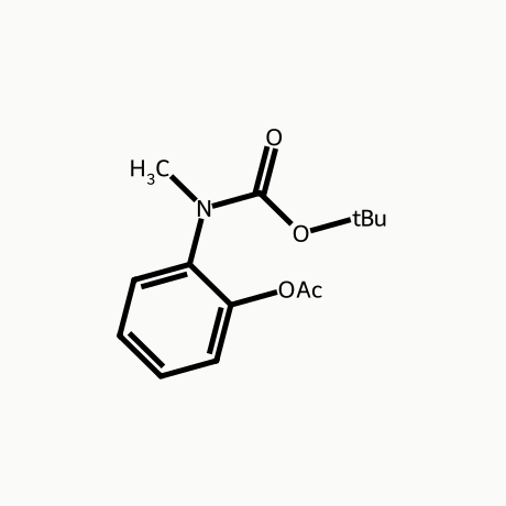 CC(=O)Oc1ccccc1N(C)C(=O)OC(C)(C)C